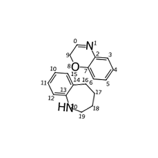 C1=Nc2ccccc2OC1.c1ccc2c(c1)CCCCN2